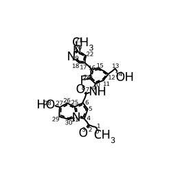 CCC(=O)c1cc(C(=O)Nc2cc(CO)cc(-c3cnn(C)c3)c2F)c2cc(O)ccn12